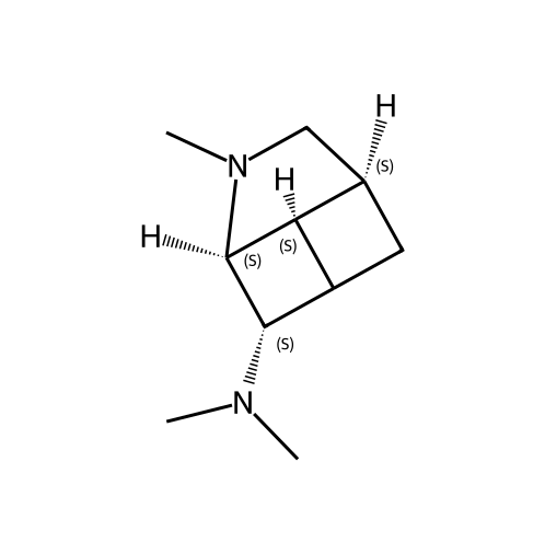 CN(C)[C@H]1C2C[C@@H]3CN(C)[C@H]1[C@H]23